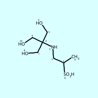 CC(CNC(CO)(CO)CO)S(=O)(=O)O